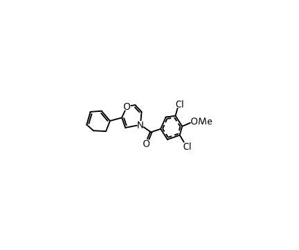 COc1c(Cl)cc(C(=O)N2C=COC(C3=CC=CCC3)=C2)cc1Cl